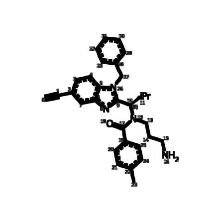 C#Cc1ccc2c(c1)nc([C@@H](C(C)C)N(CCCN)C(=O)c1ccc(C)cc1)n2Cc1ccccc1